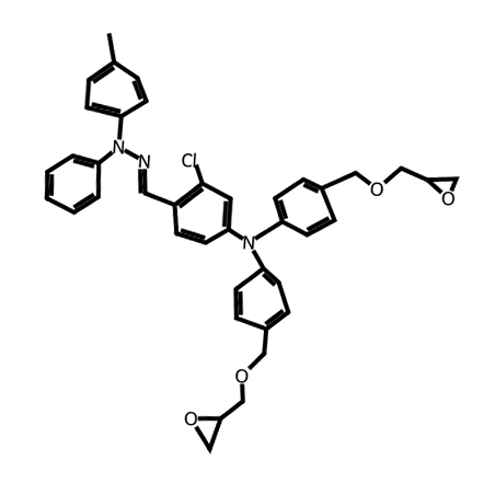 Cc1ccc(N(N=Cc2ccc(N(c3ccc(COCC4CO4)cc3)c3ccc(COCC4CO4)cc3)cc2Cl)c2ccccc2)cc1